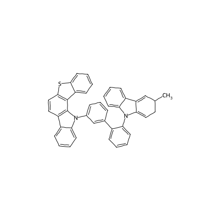 CC1C=c2c(n(-c3ccccc3-c3cccc(-n4c5ccccc5c5ccc6sc7ccccc7c6c54)c3)c3ccccc23)=CC1